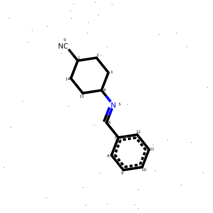 N#CC1CCC(N=Cc2ccccc2)CC1